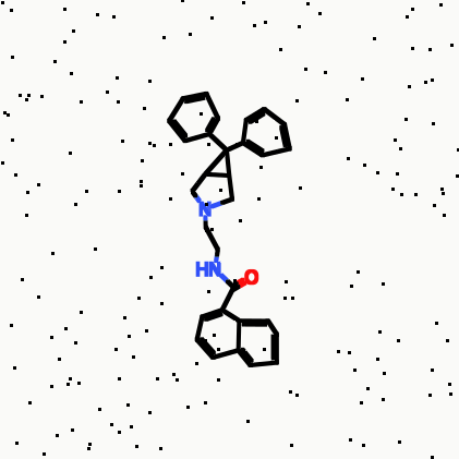 O=C(NCCN1CC2C(C1)C2(c1ccccc1)c1ccccc1)c1cccc2ccccc12